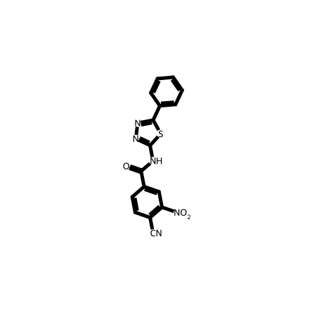 N#Cc1ccc(C(=O)Nc2nnc(-c3ccccc3)s2)cc1[N+](=O)[O-]